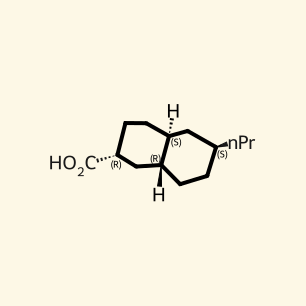 CCC[C@H]1CC[C@@H]2C[C@H](C(=O)O)CC[C@H]2C1